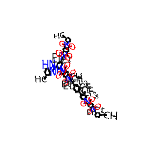 C#Cc1cccc(NC(=N)c2cc(N3C(=O)C4C5C=CC(C4C3=O)C3C(=O)N(C(C)(CC)C(CC)(CC)c4ccc(-c6ccc(N7C(=O)C8C9C=CC(C8C7=O)C7C(=O)N(C(CC)(CC)c8cccc(C#C)c8)C(=O)C97)cc6C(F)(F)F)c(C(F)(F)F)c4)C(=O)C53)cc(C(CC)(CC)N3C(=O)C4C5C=CC(C6C(=O)N(c7cccc(C#C)c7)C(=O)C56)C4C3=O)c2)c1